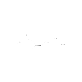 CCC[C@@H](C)CCCC(C)C[C@H](C)CNC